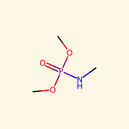 CNP(=O)(OC)OC